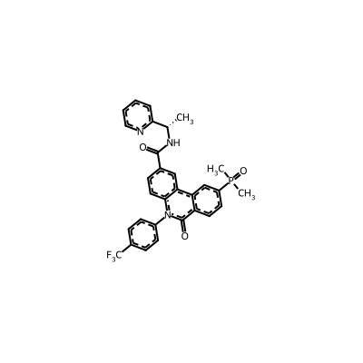 C[C@H](NC(=O)c1ccc2c(c1)c1cc(P(C)(C)=O)ccc1c(=O)n2-c1ccc(C(F)(F)F)cc1)c1ccccn1